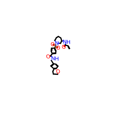 C=CC(=O)NC1CCCCN(S(=O)(=O)c2ccc(C(=O)NCc3ccc4c(c3)CCCO4)cc2)C1